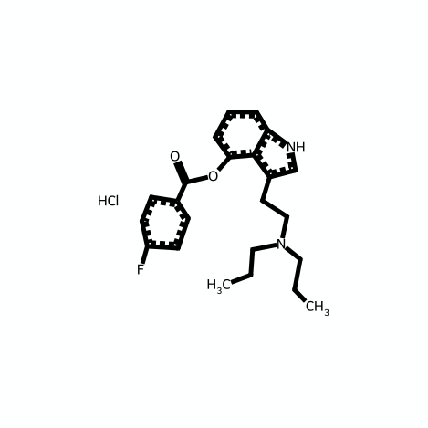 CCCN(CCC)CCc1c[nH]c2cccc(OC(=O)c3ccc(F)cc3)c12.Cl